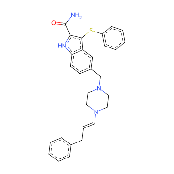 NC(=O)c1[nH]c2ccc(CN3CCN(C=CCc4ccccc4)CC3)cc2c1Sc1ccccc1